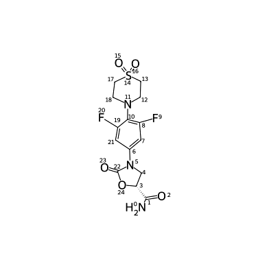 NC(=O)[C@H]1CN(c2cc(F)c(N3CCS(=O)(=O)CC3)c(F)c2)C(=O)O1